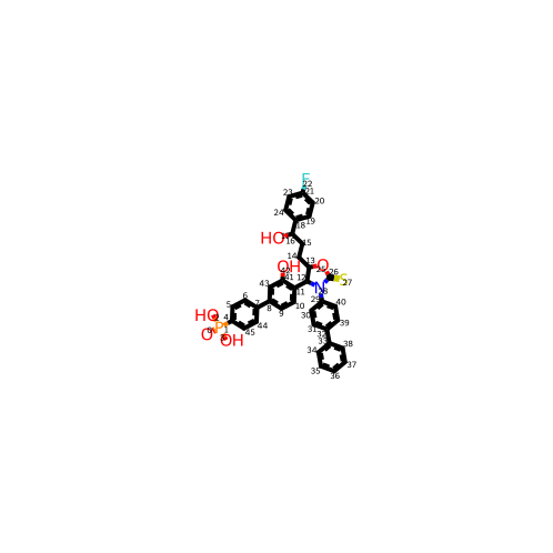 O=P(O)(O)c1ccc(-c2ccc(C3C(CCC(O)c4ccc(F)cc4)OC(=S)N3c3ccc(-c4ccccc4)cc3)c(O)c2)cc1